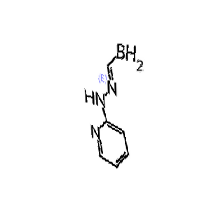 B/C=N/Nc1ccccn1